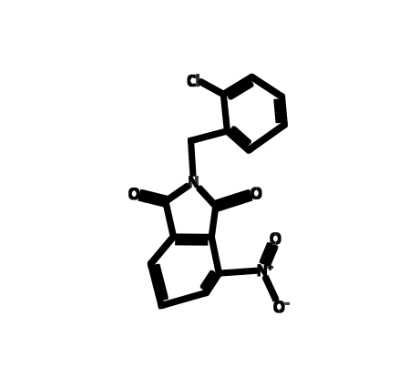 O=C1c2cccc([N+](=O)[O-])c2C(=O)N1Cc1ccccc1Cl